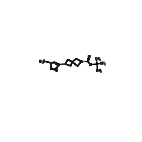 Cc1cnn(C2CC3(C2)CN(C(=O)OC(C)(C)C)C3)c1